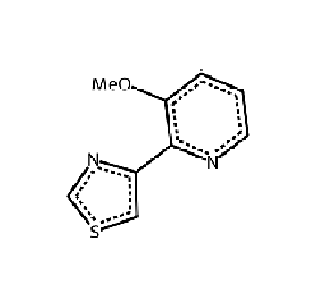 COc1[c]ccnc1-c1cscn1